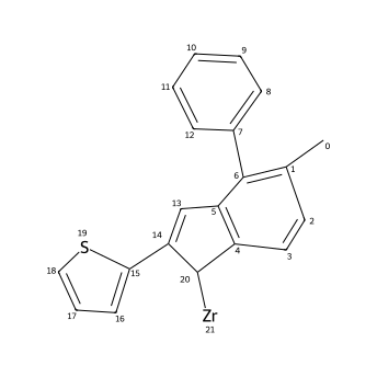 Cc1ccc2c(c1-c1ccccc1)C=C(c1cccs1)[CH]2[Zr]